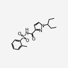 CCC(CC)n1ccc(C(=O)NS(=O)(=O)c2ccccc2C)n1